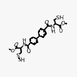 COC(=O)C(CS)NC(=O)c1ccc(-c2ccc(C(=O)NC(CSS)C(=O)OC)cc2)cc1